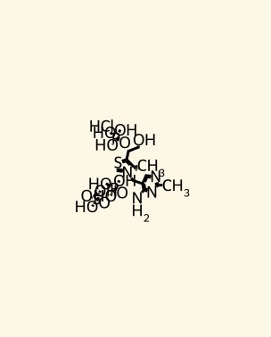 Cc1ncc(C[n+]2csc(CCO)c2C)c(N)n1.Cl.O=P(O)(O)O.O=P(O)(O)O.O=S(=O)(O)O